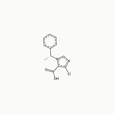 C[C@H](c1ccccc1)n1cnc(Cl)c1C(=O)O